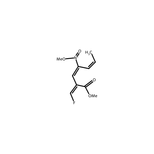 C\C=C/C(=C\C(=C\F)C(=O)OC)[N+](=O)OC